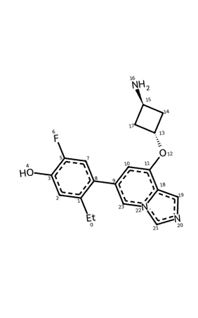 CCc1cc(O)c(F)cc1-c1cc(O[C@H]2C[C@H](N)C2)c2cncn2c1